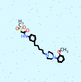 COc1ccccc1N1CCN(CCCCCc2cccc(NC(=O)CS(C)(=O)=O)c2)CC1